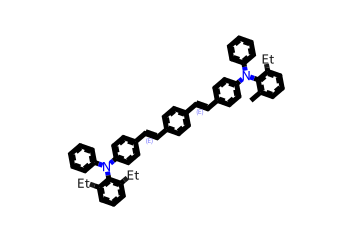 CCc1cccc(C)c1N(c1ccccc1)c1ccc(/C=C/c2ccc(/C=C/c3ccc(N(c4ccccc4)c4c(CC)cccc4CC)cc3)cc2)cc1